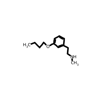 CCCCOc1cccc(CCNC)c1